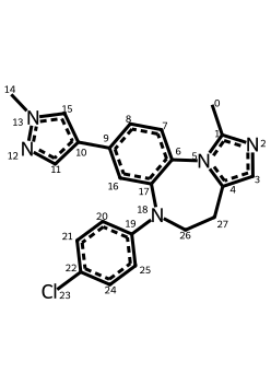 Cc1ncc2n1-c1ccc(-c3cnn(C)c3)cc1N(c1ccc(Cl)cc1)CC2